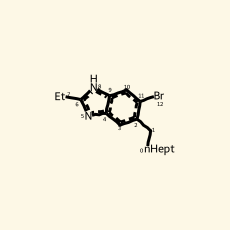 CCCCCCCCc1cc2nc(CC)[nH]c2cc1Br